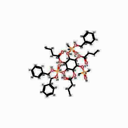 CCCC(=O)OC1C(OP(C)(C)=O)C(OC(=O)CCC)C(OP(=O)(OCc2ccccc2)OCc2ccccc2)C(OC(=O)CCC)C1OP(C)(=O)OCc1ccccc1